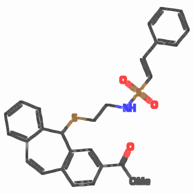 COC(=O)c1ccc2c(c1)C(SCCNS(=O)(=O)C=Cc1ccccc1)c1ccccc1C=C2